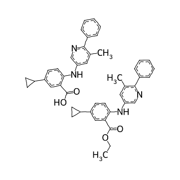 CCOC(=O)c1cc(C2CC2)ccc1Nc1cnc(-c2ccccc2)c(C)c1.Cc1cc(Nc2ccc(C3CC3)cc2C(=O)O)cnc1-c1ccccc1